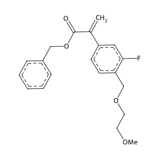 C=C(C(=O)OCc1ccccc1)c1ccc(COCCOC)c(F)c1